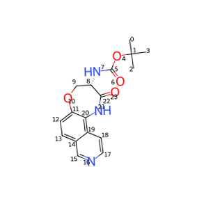 CC(C)(C)OC(=O)N[C@H]1COc2ccc3cnccc3c2NC1=O